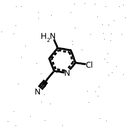 N#Cc1cc(N)cc(Cl)n1